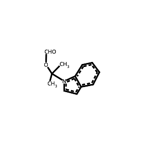 CC(C)(OC=O)n1ccc2ccccc21